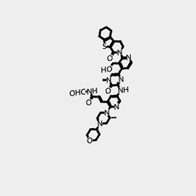 C[C@H]1CN(C2CCOCC2)CCN1c1ncc(Nc2nc(-c3ccnc(N4CCc5c(sc6c5CCCC6)C4=O)c3CO)cn(C)c2=O)cc1C=CC(=O)NC=O